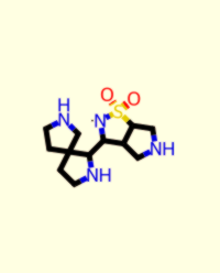 O=S1(=O)[N]C(C2NCCC23CCNC3)C2CNCC21